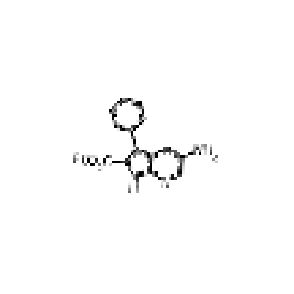 CCOC(=O)c1[nH]c2ncc(N)cc2c1-c1ccccc1